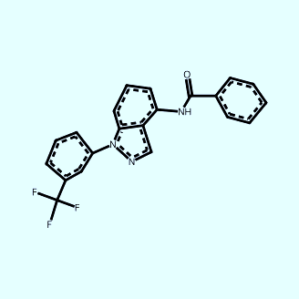 O=C(Nc1cccc2c1cnn2-c1cccc(C(F)(F)F)c1)c1ccccc1